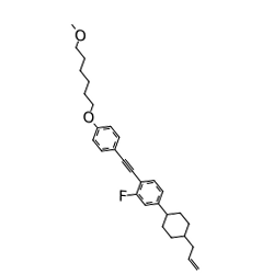 C=CCC1CCC(c2ccc(C#Cc3ccc(OCCCCCCOC)cc3)c(F)c2)CC1